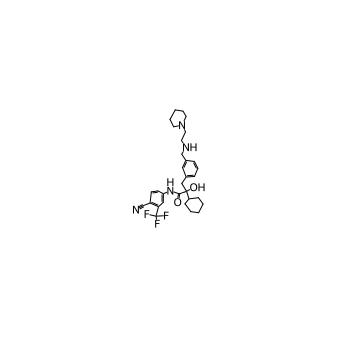 N#Cc1ccc(NC(=O)C(O)(Cc2cccc(CNCCN3CCCCC3)c2)C2CCCCC2)cc1C(F)(F)F